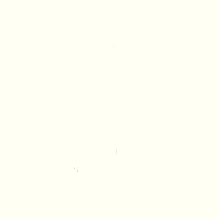 NC[C@@H](F)c1ccc(Cl)cc1Cl